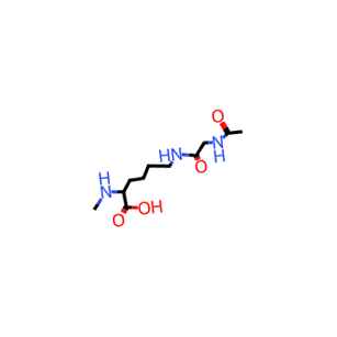 CNC(CCCCNC(=O)CNC(C)=O)C(=O)O